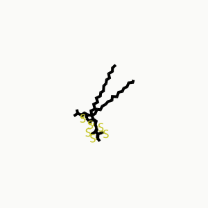 CCCCCCCCCCCCCCCCC1(CCCCCCCCCCCCCCCC)c2cc(C3=C4C(=S)SC(C)=C4C(=S)S3)sc2-c2sc(C(C)C)cc21